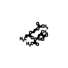 C=C(CCOC(C)=O)C(=O)O.C=CC(=O)OCCOC(C)=O